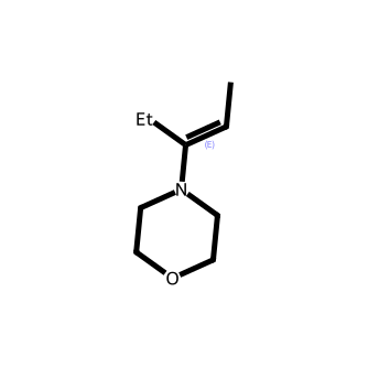 C/C=C(\CC)N1CCOCC1